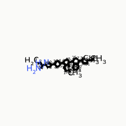 C=C/C=C(\CN)C/C=C\C(=C/N)C1=CC=C(C2=C(/C=C\CC)C(C)=C(C3=CCC(C(/C=C\CCC)=C/C)C4=C3CCCC4)CC2)CC1